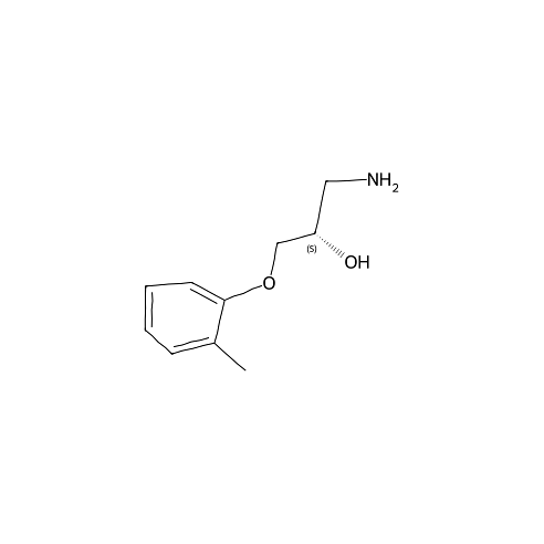 Cc1ccccc1OC[C@@H](O)CN